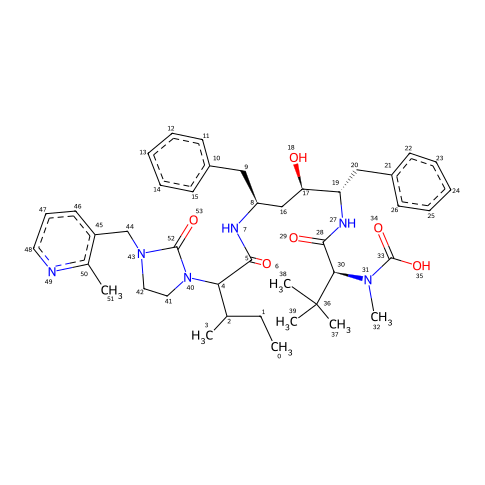 CCC(C)C(C(=O)N[C@@H](Cc1ccccc1)C[C@@H](O)[C@H](Cc1ccccc1)NC(=O)[C@@H](N(C)C(=O)O)C(C)(C)C)N1CCN(Cc2cccnc2C)C1=O